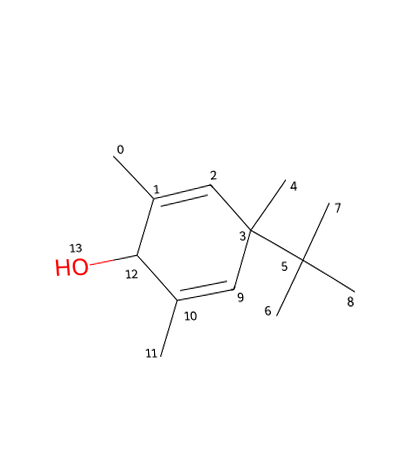 CC1=CC(C)(C(C)(C)C)C=C(C)C1O